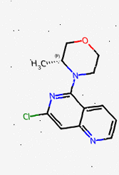 C[C@@H]1COCCN1c1nc(Cl)cc2ncccc12